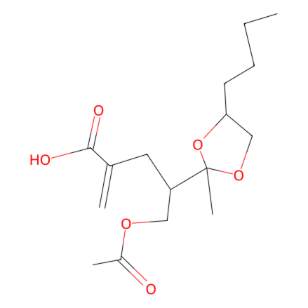 C=C(CC(COC(C)=O)C1(C)OCC(CCCC)O1)C(=O)O